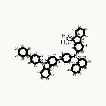 CC1(C)c2cc(N(c3ccc(-c4ccc5c(c4)c4c(n5-c5ccc(-c6ccccc6)cc5)=CCCC=4)cc3)c3cccc4ccccc34)ccc2C2C=CC=CC21